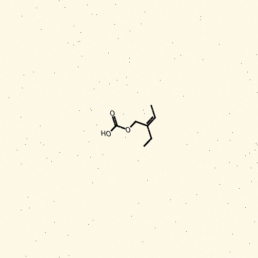 CC=C(CC)COC(=O)O